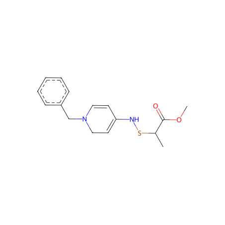 COC(=O)C(C)SNC1=CCN(Cc2ccccc2)C=C1